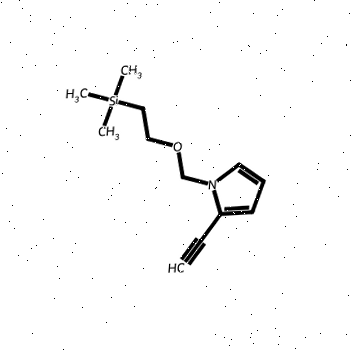 C#Cc1cccn1COCC[Si](C)(C)C